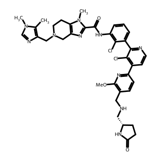 COc1nc(-c2ccnc(-c3cccc(NC(=O)c4nc5c(n4C)CCN(Cc4ncn(C)c4C)C5)c3Cl)c2Cl)ccc1CNC[C@@H]1CCC(=O)N1